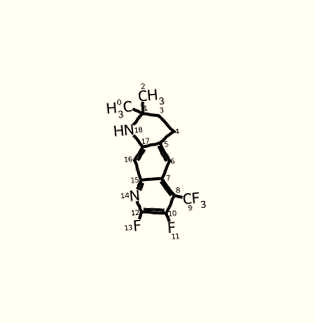 CC1(C)CCc2cc3c(C(F)(F)F)c(F)c(F)nc3cc2N1